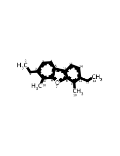 CCc1ccc2c(oc3c(C)c(CC)ccc32)c1C